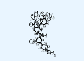 C=CCn1c(=O)c2cnc(Nc3cc(Cl)cc(C4CCN(C)CC4)c3)nc2n1-c1ccc(=O)n(C(C)C)n1